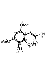 COc1cc(OC)c(C=C(C#N)C#N)c(OC)c1C